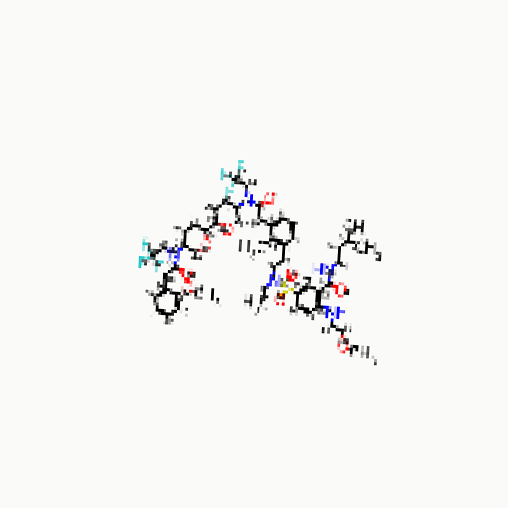 CCN(CCc1cccc(CC(=O)N(CC(F)(F)F)C2CCC(C3CCC(N(CC(F)(F)F)C(=O)Cc4ccccc4OC)CO3)OC2)c1C)S(=O)(=O)c1ccc(NCCOC)c(C(=O)NCCC(C)C)c1